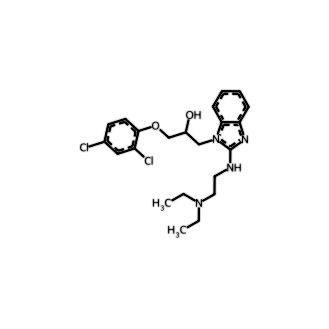 CCN(CC)CCNc1nc2ccccc2n1CC(O)COc1ccc(Cl)cc1Cl